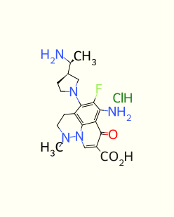 C[C@H](N)[C@@H]1CCN(c2c(F)c(N)c3c(=O)c(C(=O)O)cn4c3c2CCN4C)C1.Cl